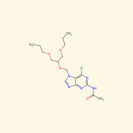 CCCOCC(COCCC)OCn1cnc2nc(NC(C)=O)nc(Cl)c21